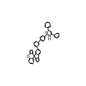 C1=C(c2ccccc2)NC(c2ccc(-c3cccc(-c4ccc5c(c4)C4(c6ccccc6Oc6ccccc64)c4ccccc4-5)c3)cc2)N=C1c1ccccc1